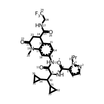 CC(C)n1nccc1C(=O)N[C@H](C(=O)Nc1ccc2c(c1)N(C)C(=O)CC2C(=O)NCC(F)(F)F)C(C1CC1)C1CC1